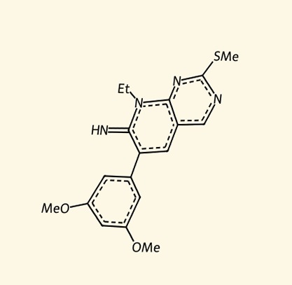 CCn1c(=N)c(-c2cc(OC)cc(OC)c2)cc2cnc(SC)nc21